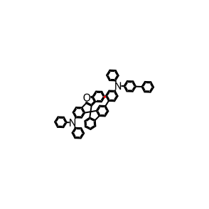 c1ccc(-c2ccc(N(c3ccccc3)c3ccc(-c4ccc5c(c4)C4(c6ccccc6-5)c5cc(N(c6ccccc6)c6ccccc6)ccc5-c5oc6ccccc6c54)cc3)cc2)cc1